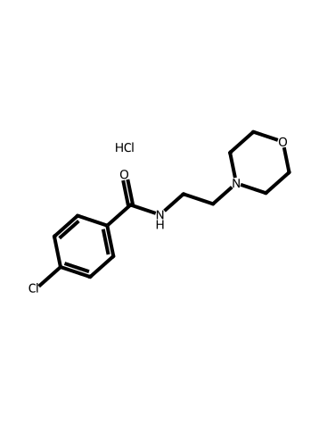 Cl.O=C(NCCN1CCOCC1)c1ccc(Cl)cc1